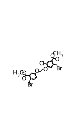 COC(=O)c1cc(OCCOc2cc(CBr)c(C(=O)OC)cc2Cl)ccc1CBr